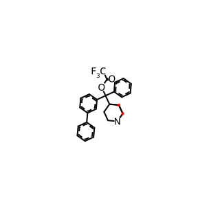 O=C(OC(c1ccccc1)(c1cccc(-c2ccccc2)c1)C12CCN(CC1)CC2)C(F)(F)F